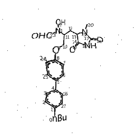 CCCCc1ccc(-c2ccc(OCC(CC3C(=O)NC(=O)N3C)N(O)C=O)cc2)cc1